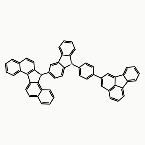 c1ccc2c(c1)-c1cccc3cc(-c4ccc(-n5c6ccccc6c6cc(-n7c8ccc9ccccc9c8c8ccc9ccccc9c87)ccc65)cc4)cc-2c13